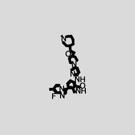 Cc1ccn2c(-c3ccc(Nc4ccc(N5CCC6(C=C(C7CCCCN(C)CC7)O6)CC5)cn4)c4c3CNC4=O)cnc2c1F